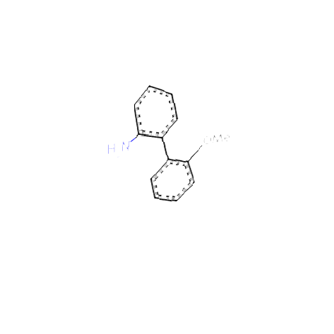 COc1c[c]ccc1-c1ccccc1N